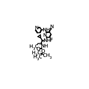 CC[C@H](NC(=O)OC(C)(C)C)[C@H](Nc1nc(Nc2cccnc2)c(C#N)cc1F)C1CC1